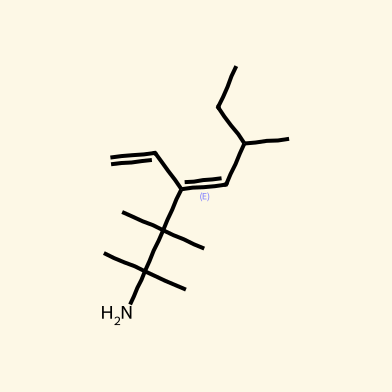 C=C/C(=C\C(C)CC)C(C)(C)C(C)(C)N